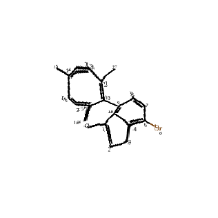 CC1=CCc2c(Br)ccc(-c3c(C)cc(C)cc3C)c21